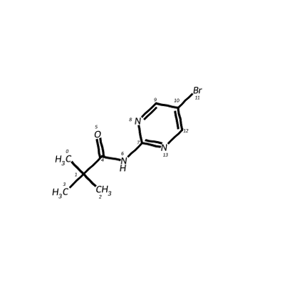 CC(C)(C)C(=O)Nc1ncc(Br)cn1